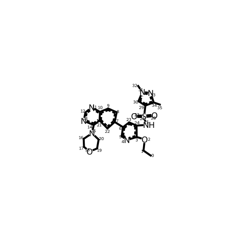 CCOc1ncc(-c2ccc3ncnc(N4CCOCC4)c3c2)cc1NS(=O)(=O)c1cn(C)nc1C